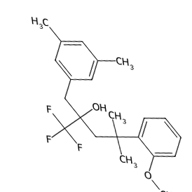 COc1ccccc1C(C)(C)CC(O)(Cc1cc(C)cc(C)c1)C(F)(F)F